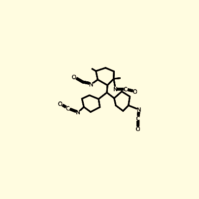 CC1CCC(C)(N=C=O)C(C(C2CCC(N=C=O)CC2)C2CCC(N=C=O)CC2)C1N=C=O